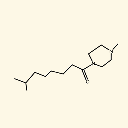 CC(C)CCCCCC(=O)N1CCN(C)CC1